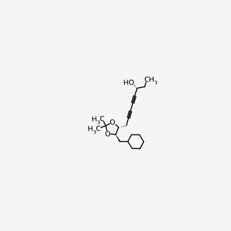 CC[C@@H](O)C#CC#CC[C@H]1OC(C)(C)O[C@@H]1CC1CCCCC1